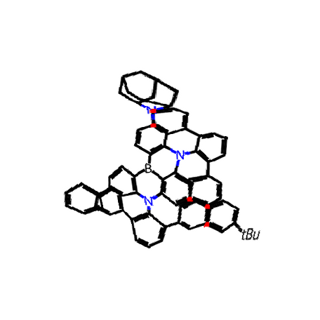 CC(C)(C)c1ccc(-c2cc3c4c(c2)N(c2c(-c5ccccc5)cccc2-c2ccccc2)c2cc(N5C6CC7CC(C6)CC5C7)ccc2B4c2ccc(-c4ccccc4)cc2N3c2c(-c3ccccc3)cccc2-c2ccccc2)cc1